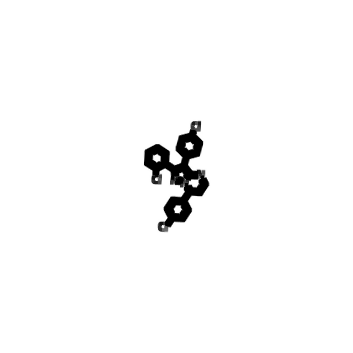 Clc1ccc(-c2c(-c3ccccc3Cl)nn3c(-c4ccc(Cl)cc4)ccnc23)cc1